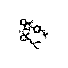 CCN(CC)CCn1cncc(Nc2nn(-c3ccc(OC(F)(F)F)cc3)c(=O)c3c2CCC3)c1=O